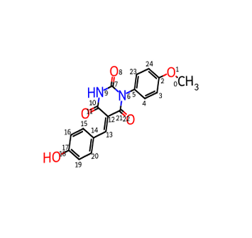 COc1ccc(N2C(=O)NC(=O)/C(=C\c3ccc(O)cc3)C2=O)cc1